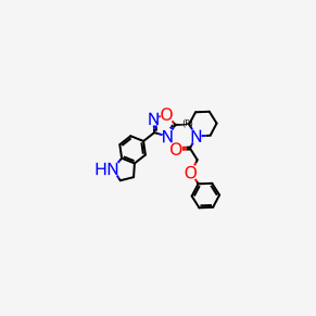 O=C(COc1ccccc1)N1CCCC[C@@H]1c1nc(-c2ccc3c(c2)CCN3)no1